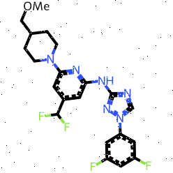 COCC1CCN(c2cc(C(F)F)cc(Nc3ncn(-c4cc(F)cc(F)c4)n3)n2)CC1